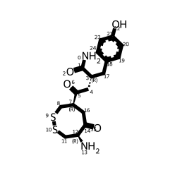 NC(=O)[C@@H](CC(=O)[C@@H]1CSSC[C@H](N)C(=O)C1)Cc1ccc(O)cc1